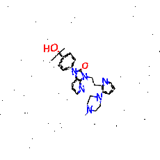 CN1CCN(c2cccnc2CCn2c(=O)n(-c3ccc(C(C)(C)O)cc3)c3cccnc32)CC1